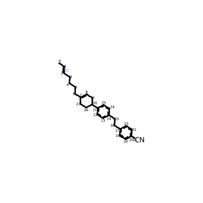 C/C=C/CCCCC1=CCC(c2ccc(CCc3ccc(C#N)cc3)cc2)CC1